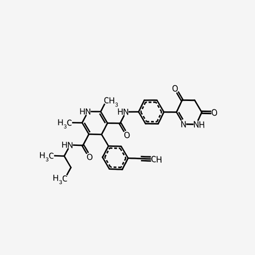 C#Cc1cccc(C2C(C(=O)Nc3ccc(C4=NNC(=O)CC4=O)cc3)=C(C)NC(C)=C2C(=O)NC(C)CC)c1